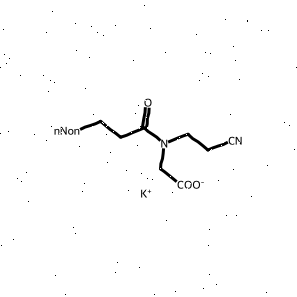 CCCCCCCCCCCC(=O)N(CCC#N)CC(=O)[O-].[K+]